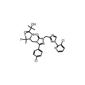 CC(C)(O)C(=O)NC(Cn1c(-c2ccc(Cl)cc2)nn(Cc2ncn(-c3ncccc3Cl)n2)c1=O)C(F)(F)F